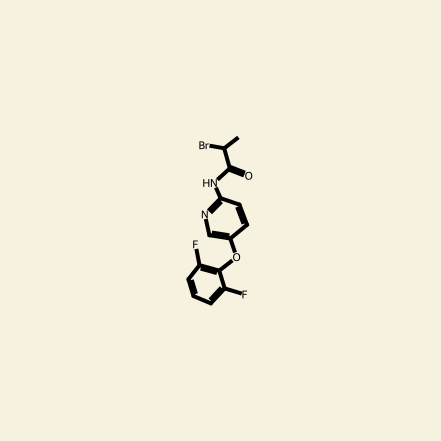 CC(Br)C(=O)Nc1ccc(Oc2c(F)cccc2F)cn1